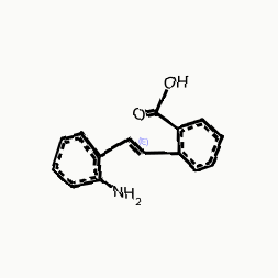 Nc1ccccc1/C=C/c1ccccc1C(=O)O